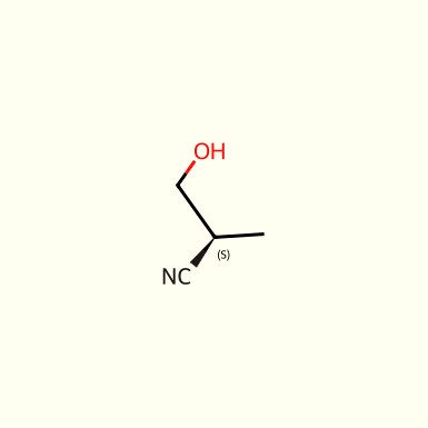 C[C@@H](C#N)CO